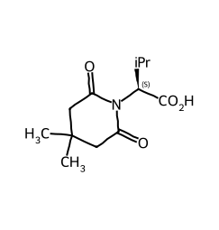 CC(C)[C@@H](C(=O)O)N1C(=O)CC(C)(C)CC1=O